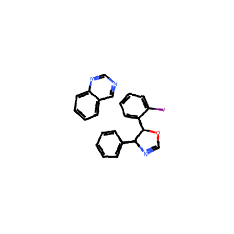 Ic1ccccc1C1OC=NC1c1ccccc1.c1ccc2ncncc2c1